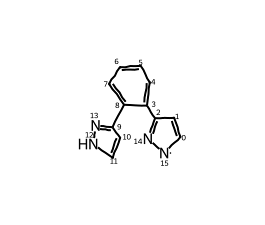 C1=CC(c2ccccc2-c2cc[nH]n2)=N[N]1